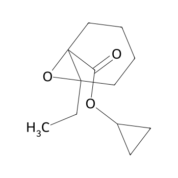 CCC12CCCCC1(C(=O)OC1CC1)O2